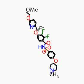 CC[C@@H](Oc1ccc(C(=O)NS(=O)(=O)c2ccc(OC3CCN(C)CC3)cc2)c(F)c1F)c1ccc(OCCOC)cn1